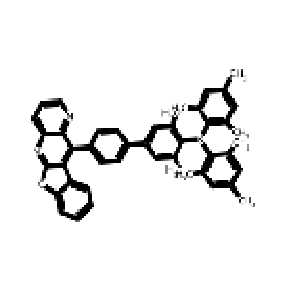 Cc1cc(C)c(B(c2c(C)cc(C)cc2C)c2c(C)cc(-c3ccc(-c4c5ncccc5nc5oc6ccccc6c45)cc3)cc2C)c(C)c1